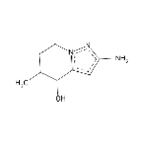 CC1CCn2nc(N)cc2C1O